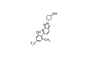 Cc1cc(C(F)(F)F)cc(O)c1-c1ccc2cn([C@@H]3CC[C@@H](O)C3)nc2n1